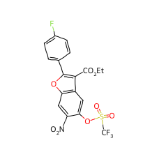 CCOC(=O)c1c(-c2ccc(F)cc2)oc2cc([N+](=O)[O-])c(OS(=O)(=O)C(F)(F)F)cc12